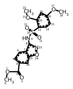 COC(=O)c1ccc2c(NS(=O)(=O)c3ccc(OC)cc3OC)noc2c1